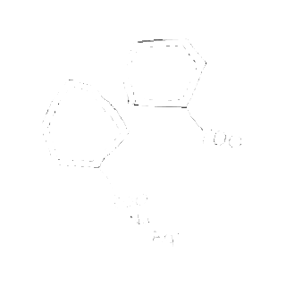 O=C([O-])c1ccccc1.O=C([O-])c1ccccc1.[Ag+].[Na+]